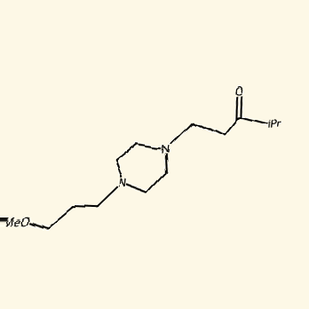 COCCCN1CCN(CCC(=O)C(C)C)CC1